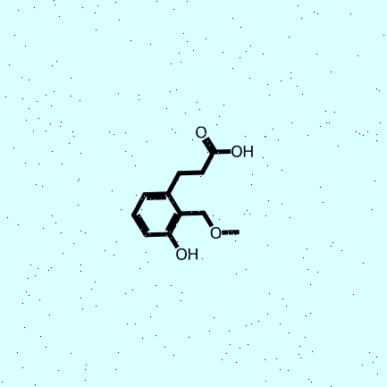 COCc1c(O)cccc1CCC(=O)O